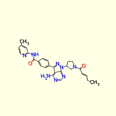 CC/C=C/C(=O)N1CCC(n2nc(-c3ccc(C(=O)Nc4cc(C)ccn4)cc3)c3c(N)ncnc32)C1